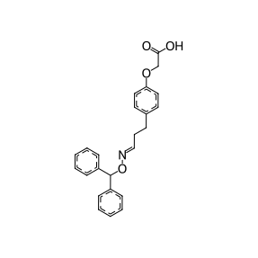 O=C(O)COc1ccc(CCC=NOC(c2ccccc2)c2ccccc2)cc1